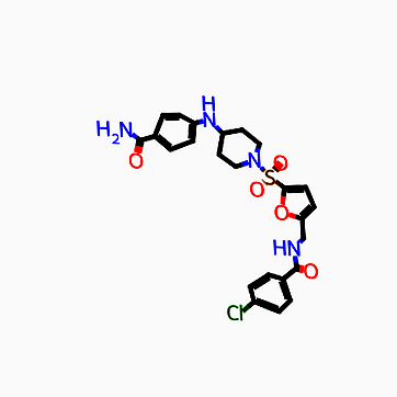 NC(=O)c1ccc(NC2CCN(S(=O)(=O)c3ccc(CNC(=O)c4ccc(Cl)cc4)o3)CC2)cc1